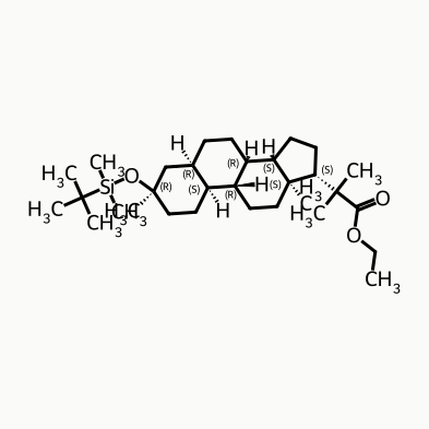 CCOC(=O)C(C)(C)[C@H]1CC[C@H]2[C@@H]3CC[C@@H]4C[C@](C)(O[Si](C)(C)C(C)(C)C)CC[C@@H]4[C@H]3CC[C@]12C